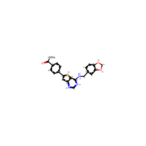 CNC(=O)c1ccc(-c2cc3ncnc(NCc4ccc5c(c4)OCO5)c3s2)cc1